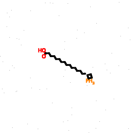 C1CCC1.CCCCCCCCCCCCCCCC(=O)O.P